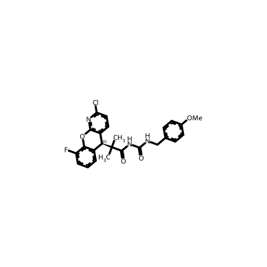 COc1ccc(CNC(=O)NC(=O)C(C)(C)[C@@H]2c3ccc(Cl)nc3Oc3c(F)cccc32)cc1